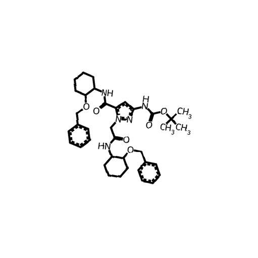 CC(C)(C)OC(=O)Nc1cc(C(=O)NC2CCCCC2OCc2ccccc2)n(CC(=O)NC2CCCCC2OCc2ccccc2)n1